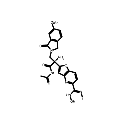 COc1ccc2c(c1)C(=O)N(C[C@@](N)(C(=O)NC(=O)I)c1cc3nc(C(=NI)NO)ccc3o1)C2